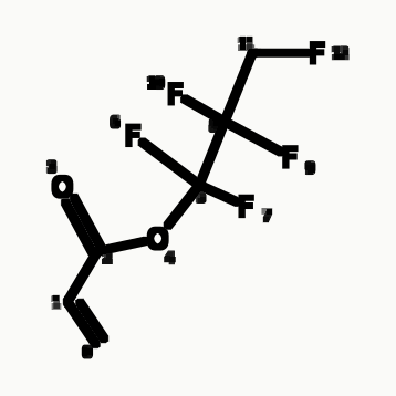 C=CC(=O)OC(F)(F)C(F)(F)CF